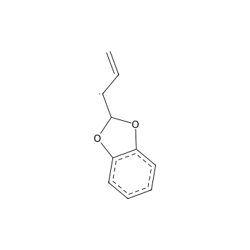 C=C[CH]C1Oc2ccccc2O1